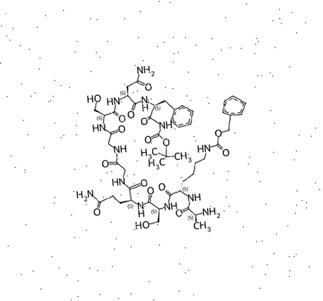 C[C@H](N)C(=O)N[C@@H](CCCCNC(=O)OCc1ccccc1)C(=O)N[C@@H](CO)C(=O)N[C@@H](CCC(N)=O)C(=O)NCC(=O)NCC(=O)N[C@@H](CO)C(=O)N[C@@H](CC(N)=O)C(=O)N[C@@H](Cc1ccccc1)C(=O)NC(=O)OC(C)(C)C